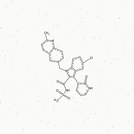 Cc1ccc2cc(Cn3c(C(=O)NS(C)(=O)=O)c(-c4ccc[nH]c4=O)c4cc(Cl)ccc43)ccc2n1